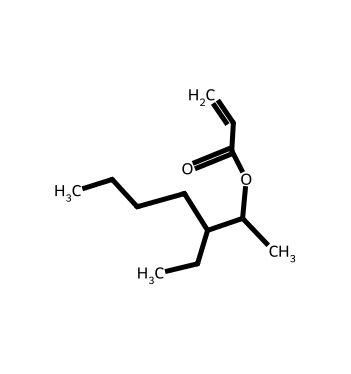 C=CC(=O)OC(C)C(CC)CCCC